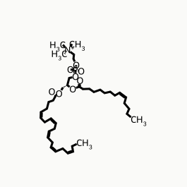 CC/C=C\C/C=C\C/C=C\C/C=C\C/C=C\CCCC(=O)OC[C@H](COP(=O)([O-])OCC[N+](C)(C)C)OC(=O)CCCCCCC/C=C\CCCC